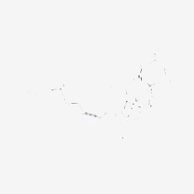 O=C[C@@H]1[C@@H](C/C=C\CCCC(=O)O)[C@H](Cl)C[C@H]1OC1CCCCO1